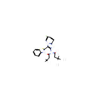 CC(C)(C)CC(=O)N(C(=O)CC(C)(C)C)c1nc2ccc(F)cn2c1-c1nc2ccccc2s1